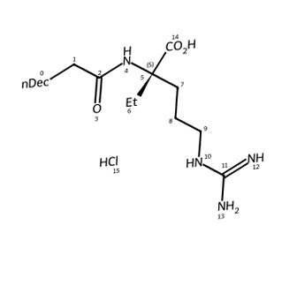 CCCCCCCCCCCC(=O)N[C@@](CC)(CCCNC(=N)N)C(=O)O.Cl